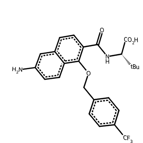 CC(C)(C)[C@H](NC(=O)c1ccc2cc(N)ccc2c1OCc1ccc(C(F)(F)F)cc1)C(=O)O